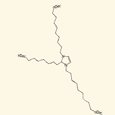 CCCCCCCCCCCCCCCCCCCN1C=CN(CCCCCCCCCCCCCCCCCCC)C1CCCCCCCCCCCCCCCCC